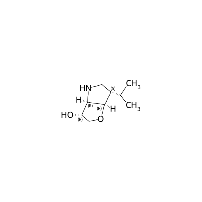 CC(C)[C@H]1CN[C@H]2[C@@H]1OC[C@@H]2O